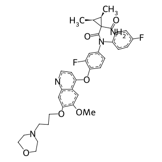 COc1cc2c(Oc3ccc(N(C(=O)C4(C(N)=O)[C@H](C)[C@@H]4C)c4ccc(F)cc4)cc3F)ccnc2cc1OCCCN1CCOCC1